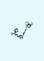 CCC(CCCc1cn(CCCCCCn2ccc(=O)c(O)c2C)nn1)c1ccncc1